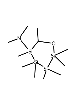 CC1O[Si](C)(C)[Si](C)(C)[Si](C)(C)[Si]1(C)N(C)C